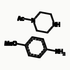 CC(=O)N1CCNCC1.COc1ccc(N)cc1